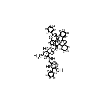 CCCC(NC(=O)[C@@H]1C[C@@H](OCc2ccccc2)CN1C(=O)C(NC(=O)c1ccccc1[N+](=O)[O-])C1CCCCC1)C(=O)C(=O)NCC(=O)NC(C(=O)O)c1ccccc1